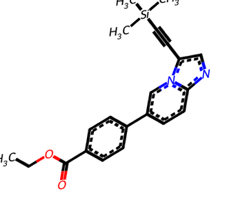 CCOC(=O)c1ccc(-c2ccc3ncc(C#C[Si](C)(C)C)n3c2)cc1